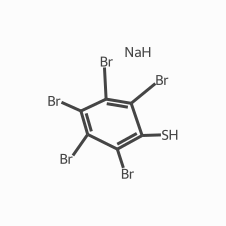 Sc1c(Br)c(Br)c(Br)c(Br)c1Br.[NaH]